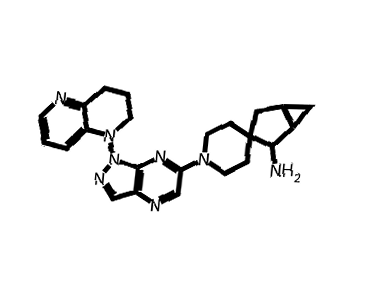 NC1C2CC2CC12CCN(c1cnc3cnn(N4CCCc5ncccc54)c3n1)CC2